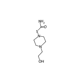 NC(=O)SN1CCN(CCO)CC1